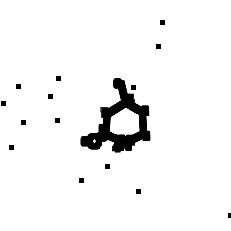 CC1CC[N]C(=O)C1